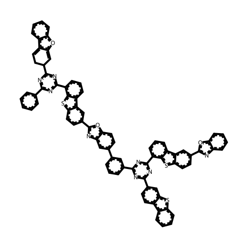 C1=c2oc3ccccc3c2=CCC1c1nc(-c2ccccc2)nc(-c2cccc3c2sc2ccc(-c4nc5cc(-c6cccc(-c7nc(-c8ccc9c(c8)sc8ccccc89)nc(-c8cccc9c8sc8ccc(-c%10nc%11ccccc%11o%10)cc89)n7)c6)ccc5o4)cc23)n1